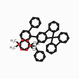 CC1(C)CCC(C)(C)c2c1ccc(-c1ccccc1)c2-c1cc2c(cc1N(c1ccccc1)c1ccccc1)C1(c3ccccc3-c3ccccc31)c1ccccc1-2